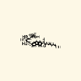 C#CCCCCNC(=O)Nc1ccc2c(c1)Cc1cc(O[C@H]3O[C@H](CCP(=O)(O)O)[C@@H](O)[C@H](O)[C@@H]3O)ccc1-2